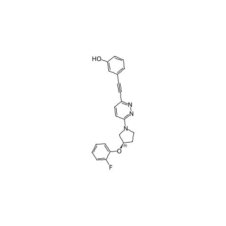 Oc1cccc(C#Cc2ccc(N3CC[C@@H](Oc4ccccc4F)C3)nn2)c1